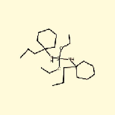 CCCC1(N[Si](NC2(CCC)CCCCC2)(OCC)OCC)CCCCC1